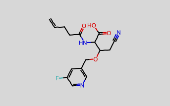 C=CCCC(=O)NC(C(=O)O)C(CC#N)OCc1cncc(F)c1